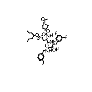 CCCC(CCC)OOSCC(NC(=O)O[C@@H]1CCN(C(C)=O)C1)C(=O)N[C@@H](Cc1cc(F)cc(F)c1)[C@H](O)CNCc1cccc(CC)c1